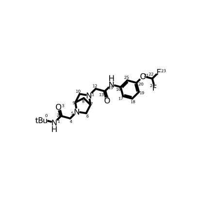 CC(C)(C)NC(=O)CN1CC2CC1CN2CC(=O)Nc1cccc(OC(F)F)c1